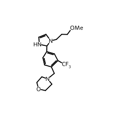 COCCCN1C=CNC1c1ccc(CN2CCOCC2)c(C(F)(F)F)c1